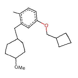 COC1CCC(Cc2cc(OCC3CCC3)ccc2C)CC1